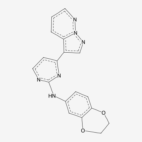 c1cnn2ncc(-c3ccnc(Nc4ccc5c(c4)OCCO5)n3)c2c1